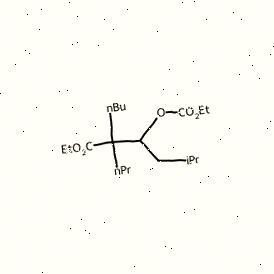 CCCCC(CCC)(C(=O)OCC)C(CC(C)C)OC(=O)OCC